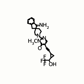 Cn1c(N2CCC3(CC2)Cc2ccccc2[C@H]3N)ncc(C#CC2CC2C(O)C(F)(F)F)c1=O